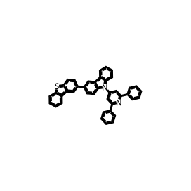 c1ccc(-c2cc(-n3c4ccccc4c4cc(-c5ccc6sc7ccccc7c6c5)ccc43)cc(-c3ccccc3)n2)cc1